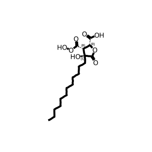 CCCCCCCCCCCC[C@@]1(O)C(=O)O[C@@H](C(=O)O)[C@H]1C(=O)OO